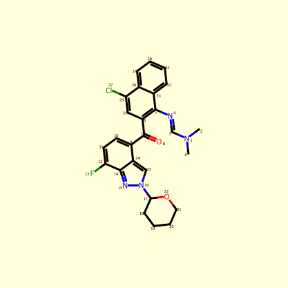 CN(C)/C=N/c1c(C(=O)c2ccc(F)c3nn(C4CCCCO4)cc23)cc(Cl)c2ccccc12